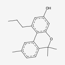 CCCc1cc(O)cc2c1-c1cc(C)ccc1C(C)(C)O2